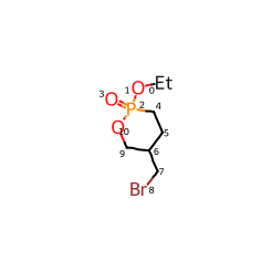 CCOP1(=O)CCC(CBr)CO1